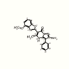 COc1cccc2oc(-c3c(C)[nH]c4c(-c5ccccc5)c(N)nn4c3=O)nc12